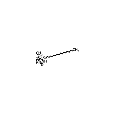 CCCCCCCCCCCCCCCCCCSC1NC(=O)NC(=O)C1(F)C(=O)OCC